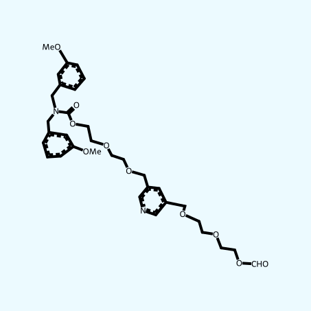 COc1cccc(CN(Cc2cccc(OC)c2)C(=O)OCCOCCOCc2cncc(COCCOCCOC=O)c2)c1